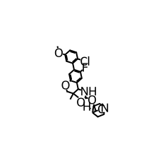 COc1ccc(Cl)c(-c2cc3c(cc2F)C(NC(=O)O[C@H]2CN4CCC2CC4)C(C)(C)CO3)c1